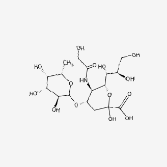 C[C@@H]1OC(O[C@H]2CC(O)(C(=O)O)O[C@@H]([C@H](O)[C@H](O)CO)[C@@H]2NC(=O)CO)[C@@H](O)[C@H](O)[C@@H]1O